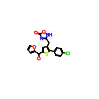 O=C(c1ccco1)c1cc(Cc2nc(=O)o[nH]2)c(-c2ccc(Cl)cc2)s1